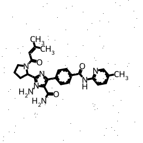 CC(C)=CC(=O)N1CCCC1c1nc(-c2ccc(C(=O)Nc3ccc(C)cn3)cc2)c(C(N)=O)n1N